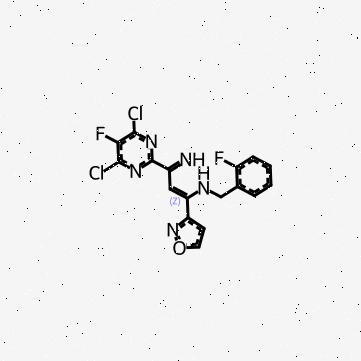 N=C(/C=C(\NCc1ccccc1F)c1ccon1)c1nc(Cl)c(F)c(Cl)n1